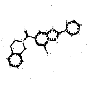 Nc1cc(C(=O)N2CCc3ccccc3C2)cc2nc(-c3ccccn3)nn12